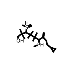 C#[SH](C)C(C(C)(C)CO)C(C)(C)C(C)(C)C(PC)C(=C)CCC1CC1